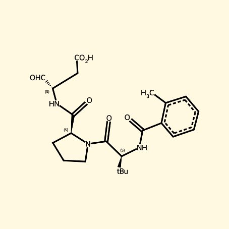 Cc1ccccc1C(=O)N[C@H](C(=O)N1CCC[C@H]1C(=O)N[C@H](C=O)CC(=O)O)C(C)(C)C